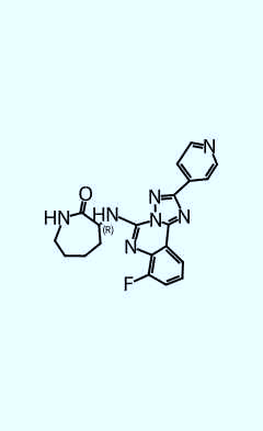 O=C1NCCCC[C@H]1Nc1nc2c(F)cccc2c2nc(-c3ccncc3)nn12